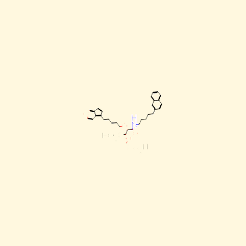 O=C(O)COC(C(=O)O)C(OCCCCCc1ccc2coccc1-2)C(=O)NCCCCCc1ccc2ccccc2c1